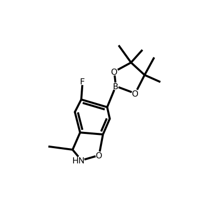 CC1NOc2cc(B3OC(C)(C)C(C)(C)O3)c(F)cc21